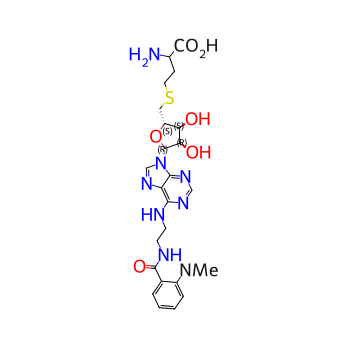 CNc1ccccc1C(=O)NCCNc1ncnc2c1ncn2[C@@H]1O[C@H](CSCCC(N)C(=O)O)[C@@H](O)[C@H]1O